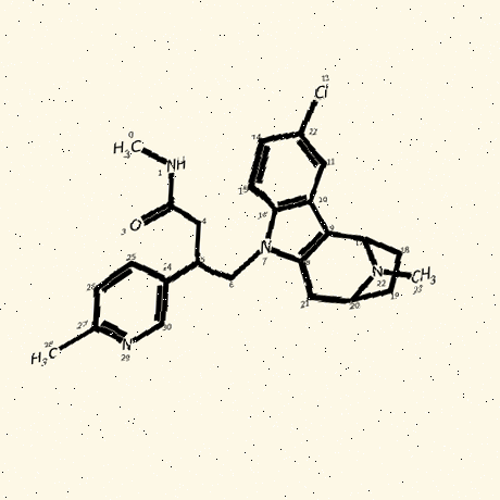 CNC(=O)CC(Cn1c2c(c3cc(Cl)ccc31)C1CCC(C2)N1C)c1ccc(C)nc1